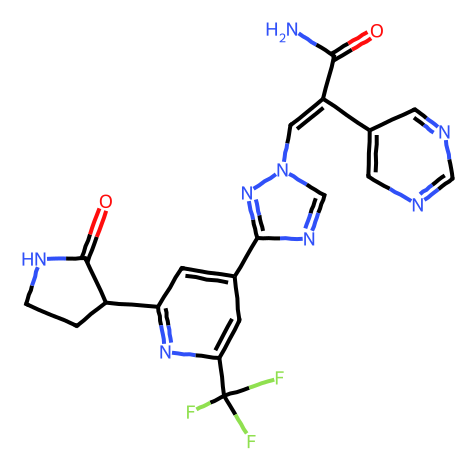 NC(=O)/C(=C/n1cnc(-c2cc(C3CCNC3=O)nc(C(F)(F)F)c2)n1)c1cncnc1